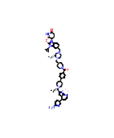 C[C@H]1CN(Cc2ccc3c(c2)n(C2CC2)c(=O)n3[C@H]2CCC(=O)NC2=O)CCN1CC1CCN(C(=O)c2ccc(C3CCN([C@@H](C)c4cc5c(-c6ccc(N)nc6)ccnc5n4C)CC3)cc2)CC1